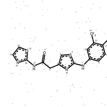 O=C(Cc1csc(Nc2ccc(Cl)c(C(F)(F)F)c2)n1)Nc1nccs1